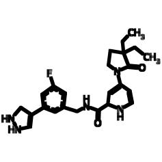 CCC1(CC)CCN(C2=CC(C(=O)NCc3cc(F)cc(C4=CNNC4)c3)NC=C2)C1=O